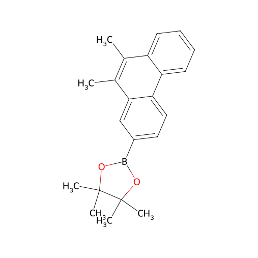 Cc1c(C)c2cc(B3OC(C)(C)C(C)(C)O3)ccc2c2ccccc12